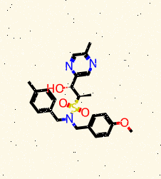 COc1ccc(CN(Cc2ccc(C)cc2)S(=O)(=O)[C@H](C)[C@H](O)c2cnc(C)cn2)cc1